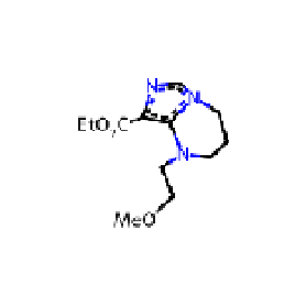 CCOC(=O)c1ncn2c1N(CCOC)CCC2